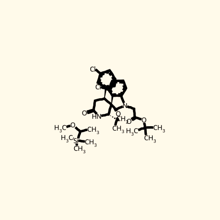 C=C(C)[C@@H]1NC(=O)C[C@@H](c2cccc(Cl)c2)[C@]12C(=O)N(CC(=O)OC(C)(C)C)c1cccc(Cl)c12.COC(C)[Si](C)(C)C